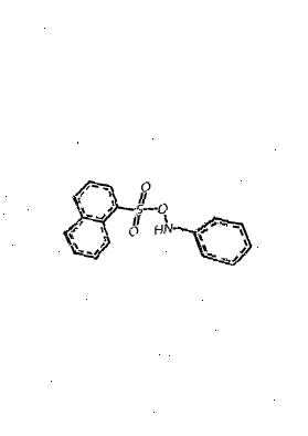 O=S(=O)(ONc1ccccc1)c1cccc2ccccc12